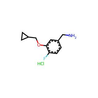 Cl.NCc1ccc(F)c(OCC2CC2)c1